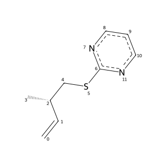 C=C[C@H](C)CSc1ncccn1